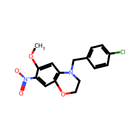 COc1cc2c(cc1[N+](=O)[O-])OCCN2Cc1ccc(Cl)cc1